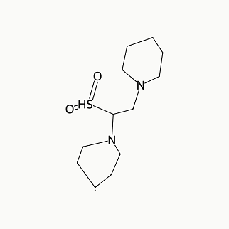 O=[SH](=O)C(CN1CCCCC1)N1CC[CH]CC1